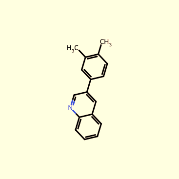 Cc1ccc(-c2cnc3ccccc3c2)cc1C